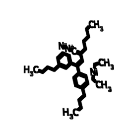 CCCCCC(=C=[N+]=[N-])C=C(c1ccc(CCCC)cc1)c1cccc(CCCC)c1.C[CH2][Ni][CH2]C